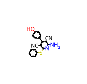 N#Cc1c(N)nc(Sc2ccccc2)c(C#N)c1-c1ccc(O)cc1